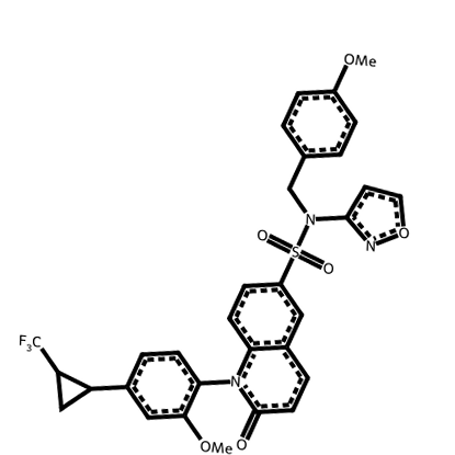 COc1ccc(CN(c2ccon2)S(=O)(=O)c2ccc3c(ccc(=O)n3-c3ccc(C4CC4C(F)(F)F)cc3OC)c2)cc1